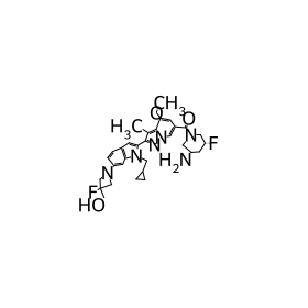 COc1cc(C(=O)N2C[C@H](N)C[C@@H](F)C2)cn2nc(-c3cc4ccc(N5CC(F)(CO)C5)cc4n3CC3CC3)c(C)c12